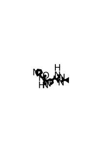 O=C(Nc1cccnc1)c1cnn2ccc(-c3c[nH]c4nc(C5CC5)ncc34)cc12